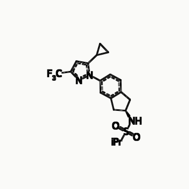 CC(C)S(=O)(=O)N[C@@H]1Cc2ccc(-n3nc(C(F)(F)F)cc3C3CC3)cc2C1